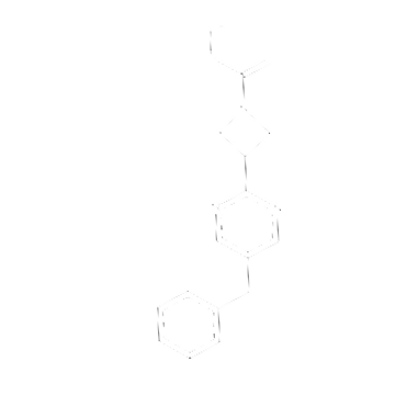 CC(C)(C)OC(=O)N1CC(c2ncc(Cc3ccccc3)cn2)C1